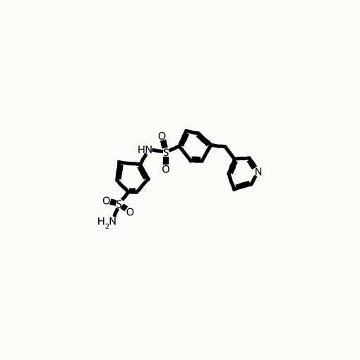 NS(=O)(=O)c1ccc(NS(=O)(=O)c2[c]cc(Cc3cccnc3)cc2)cc1